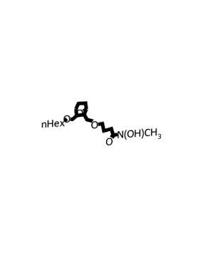 CCCCCCOCC1C2CCC(O2)C1CCOCCCC(=O)N(C)O